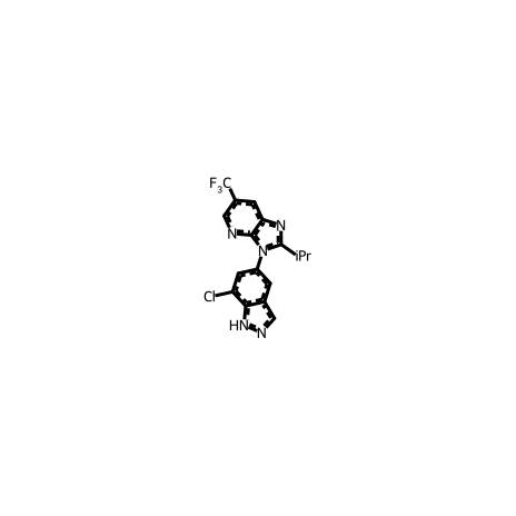 CC(C)c1nc2cc(C(F)(F)F)cnc2n1-c1cc(Cl)c2[nH]ncc2c1